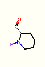 O=C[C@@H]1CCCCN1I